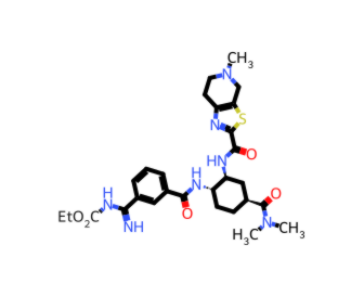 CCOC(=O)NC(=N)c1cccc(C(=O)N[C@H]2CC[C@H](C(=O)N(C)C)C[C@@H]2NC(=O)c2nc3c(s2)CN(C)CC3)c1